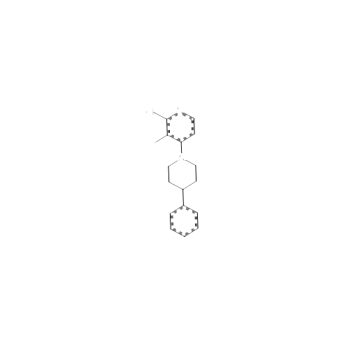 Clc1nccc(N2CCC(c3ccccc3)CC2)c1Cl